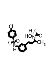 CC(=O)N(O)C(C)C=Cc1cccc(NS(=O)(=O)c2ccc(Cl)cc2)c1